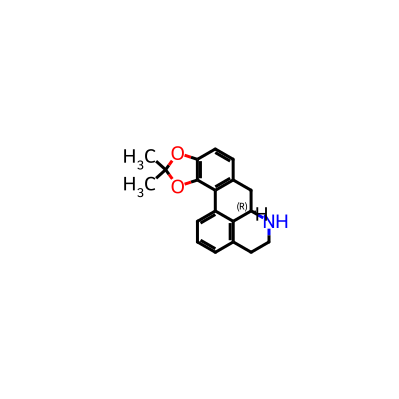 CC1(C)Oc2ccc3c(c2O1)-c1cccc2c1[C@@H](C3)NCC2